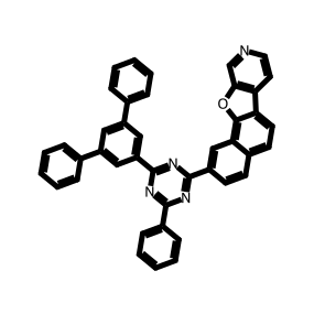 c1ccc(-c2cc(-c3ccccc3)cc(-c3nc(-c4ccccc4)nc(-c4ccc5ccc6c7ccncc7oc6c5c4)n3)c2)cc1